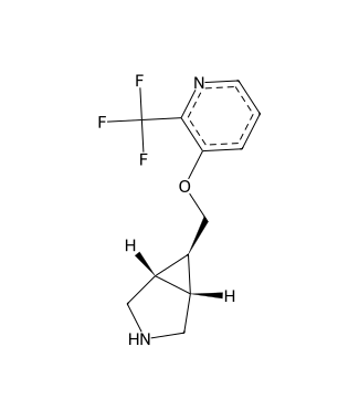 FC(F)(F)c1ncccc1OC[C@H]1[C@@H]2CNC[C@@H]21